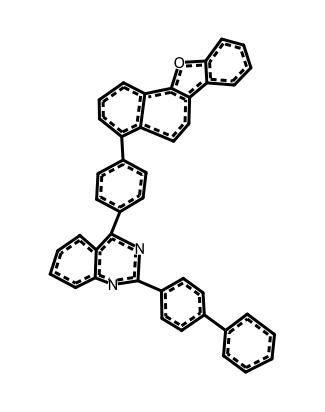 c1ccc(-c2ccc(-c3nc(-c4ccc(-c5cccc6c5ccc5c7ccccc7oc65)cc4)c4ccccc4n3)cc2)cc1